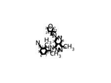 Cc1c(C#N)cccc1[C@@H](C)Nc1nnc(C)c2cnc(N3CC4(CCOC4)C3)cc12